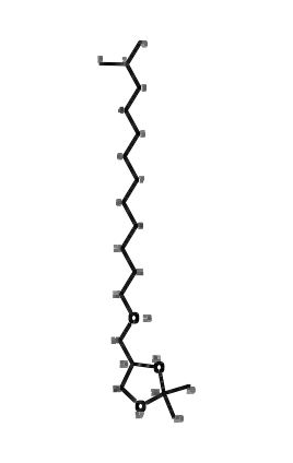 CC(C)CCCCCCCCCCOCC1COC(C)(C)O1